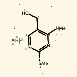 CNc1nc(SC)ncc1CO.[AlH3].[LiH]